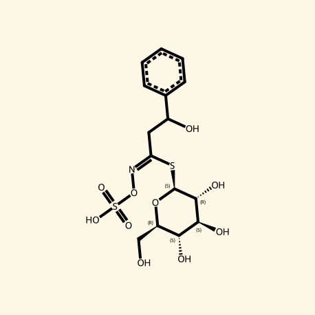 O=S(=O)(O)ON=C(CC(O)c1ccccc1)S[C@@H]1O[C@H](CO)[C@@H](O)[C@H](O)[C@H]1O